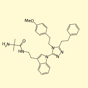 COc1ccc(CCn2c(CCc3ccccc3)nnc2-n2cc(CCNC(=O)C(C)(C)N)c3ccccc32)cc1